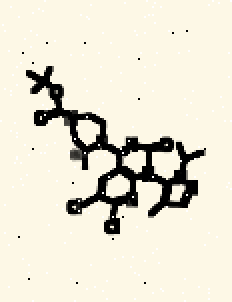 Cc1cnn(C(C)C)c1-n1c(=O)nc(N2CCN(C(=O)OC(C)(C)C)C[C@@H]2C)c2cc(Cl)c(Cl)nc21